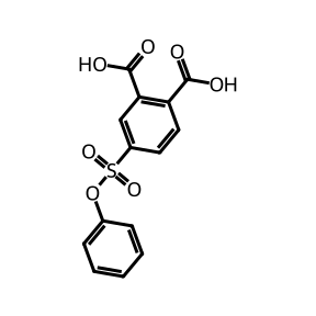 O=C(O)c1ccc(S(=O)(=O)Oc2ccccc2)cc1C(=O)O